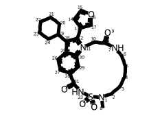 CN1CCCCCNC(=O)Cn2c(-c3ccoc3)c(C3CCCCC3)c3ccc(cc32)C(=O)NS1(=O)=O